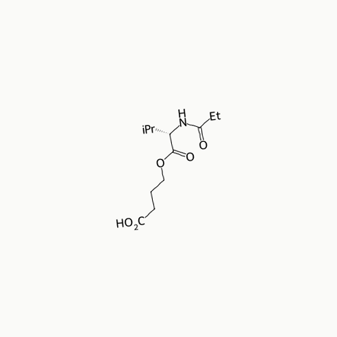 CCC(=O)N[C@H](C(=O)OCCCC(=O)O)C(C)C